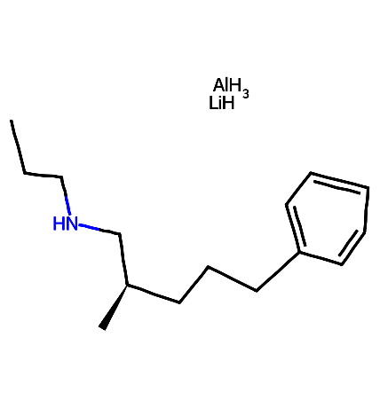 CCCNC[C@H](C)CCCc1ccccc1.[AlH3].[LiH]